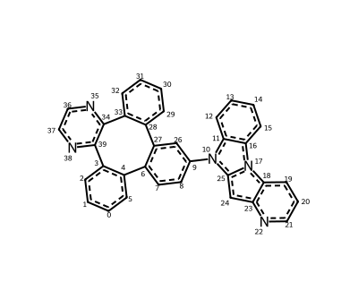 c1ccc2c(c1)-c1ccc(-n3c4ccccc4n4c5cccnc5cc34)cc1-c1ccccc1-c1nccnc1-2